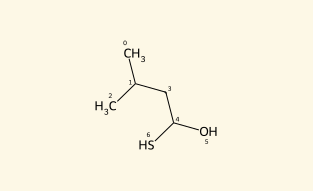 CC(C)CC(O)S